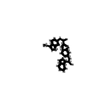 CC(C)c1csc2cc(CC(C)c3cc4ccc(CC(C)c5scc6ccccc56)cc4s3)ccc12